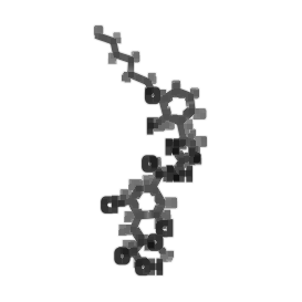 CCCCCCOc1cccc(-c2csc(NC(=O)c3cc(Cl)c(C=C(OC)C(=O)O)c(Cl)c3)n2)c1F